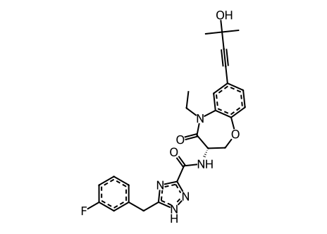 CCN1C(=O)[C@@H](NC(=O)c2n[nH]c(Cc3cccc(F)c3)n2)COc2ccc(C#CC(C)(C)O)cc21